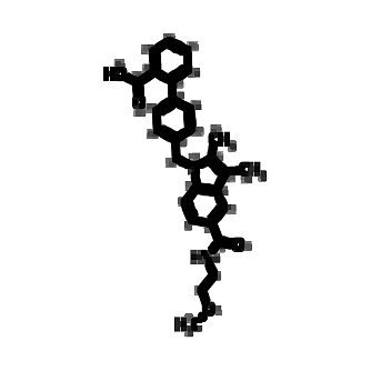 COCCNC(=O)c1ccc2c(c1)c(C)c(C)n2Cc1ccc(-c2ccccc2C(=O)O)cc1